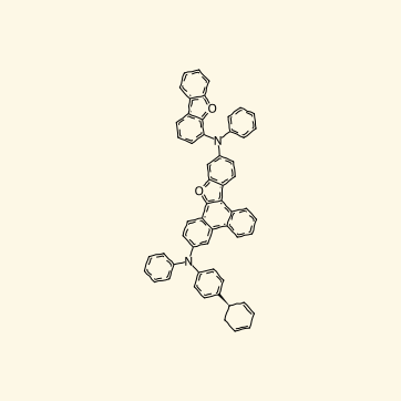 C1=CC[C@@H](c2ccc(N(c3ccccc3)c3ccc4c(c3)c3ccccc3c3c5ccc(N(c6ccccc6)c6cccc7c6oc6ccccc67)cc5oc43)cc2)C=C1